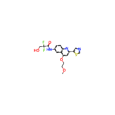 COCCOc1cc(-c2cncs2)nc2ccc(NC(=O)C(F)(F)CO)cc12